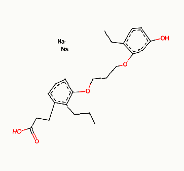 CCCc1c(CCC(=O)O)cccc1OCCCOc1cc(O)ccc1CC.[Na].[Na]